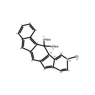 CCCCCCC1(CCCCCC)C2=c3ccccc3=CC2=Cc2cc3ccn(CC)cc-3c21